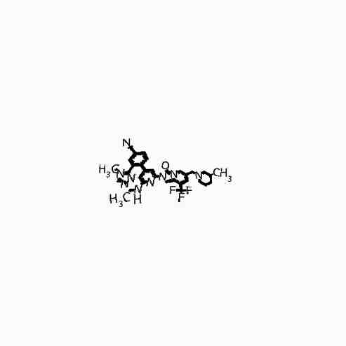 CCNc1cc(-c2ccc(C#N)cc2-c2nncn2C)cc(-n2cc3c(C(F)(F)F)cc(CN4CCC[C@H](C)C4)cn3c2=O)n1